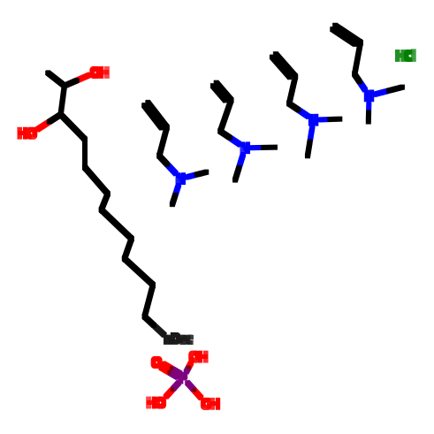 C=CCN(C)C.C=CCN(C)C.C=CCN(C)C.C=CCN(C)C.CCCCCCCCCCCCCCCCCCC(O)C(C)O.Cl.O=P(O)(O)O